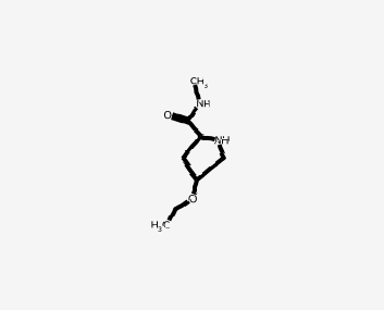 CCOC1CNC(C(=O)NC)C1